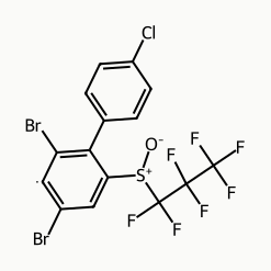 [O-][S+](c1cc(Br)[c]c(Br)c1-c1ccc(Cl)cc1)C(F)(F)C(F)(F)C(F)(F)F